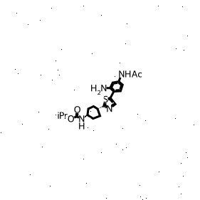 CC(=O)Nc1ccc(-c2cnc([C@H]3CC[C@H](NC(=O)OC(C)C)CC3)s2)c(N)c1